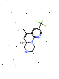 CC1=C[C@@H]2CNCCN2c2ncc(C(F)(F)F)cc21